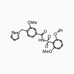 COc1cc(C(=O)NS(=O)(=O)c2c(OC)cccc2OC(C)C)ccc1Cn1cccn1